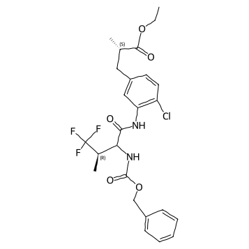 CCOC(=O)[C@@H](C)Cc1ccc(Cl)c(NC(=O)C(NC(=O)OCc2ccccc2)[C@@H](C)C(F)(F)F)c1